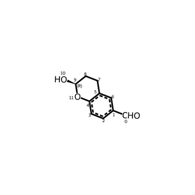 O=Cc1ccc2c(c1)CC[C@H](O)O2